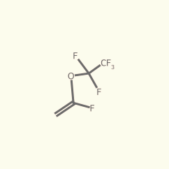 C=C(F)OC(F)(F)C(F)(F)F